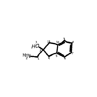 NCC1(O)Cc2ccccc2C1